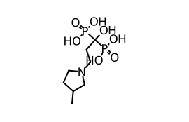 CC1CCN(CCC(O)(P(=O)(O)O)P(=O)(O)O)C1